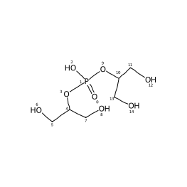 O=P(O)(OC(CO)CO)OC(CO)CO